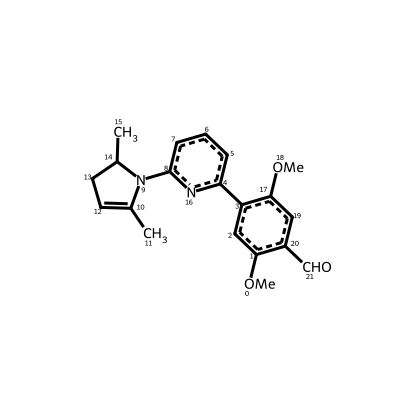 COc1cc(-c2cccc(N3C(C)=CCC3C)n2)c(OC)cc1C=O